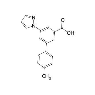 Cc1ccc(-c2cc(C(=O)O)cc(-n3cccn3)c2)cc1